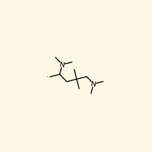 [CH2]C(CC(C)(C)CN(C)C)N(C)C